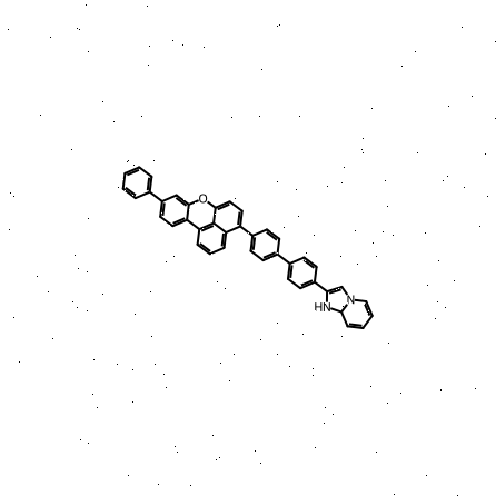 C1=CC2NC(c3ccc(-c4ccc(-c5ccc6c7c(cccc57)-c5ccc(-c7ccccc7)cc5O6)cc4)cc3)=CN2C=C1